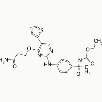 CCOC(=O)N=S(C)(=O)c1ccc(Nc2ncc(-c3cccs3)c(OCCC(N)=O)n2)cc1